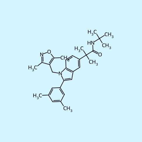 Cc1cc(C)cc(-c2cc3cc(C(C)(C)C(=O)NC(C)(C)C)ccc3n2Cc2c(C)noc2C)c1